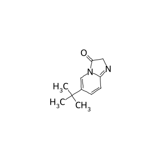 CC(C)(C)C1=CN2C(=O)CN=C2C=C1